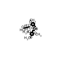 COc1cc(OC)c(/C=C/S(=O)(=O)Cc2ccc(OC)c(OC(=O)C(F)(F)C(F)(F)C(=O)O)c2)c(OC)c1